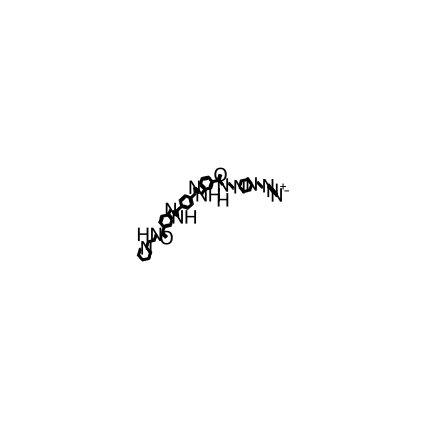 [N-]=[N+]=NCCN1CCN(CCNC(=O)c2ccc3nc(-c4ccc(-c5nc6ccc(C(=O)NCCN7CCCCC7)cc6[nH]5)cc4)[nH]c3c2)CC1